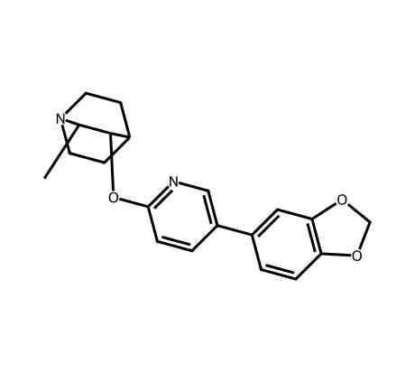 CC1C(Oc2ccc(-c3ccc4c(c3)OCO4)cn2)C2CCN1CC2